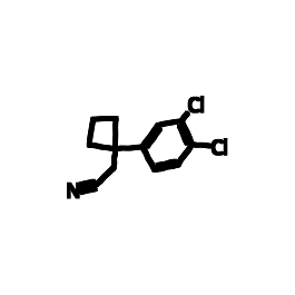 N#CCC1(c2ccc(Cl)c(Cl)c2)CCC1